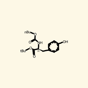 CCCCOC(=O)N[C@@H](Cc1ccc(O)cc1)C(=O)OC(C)(C)C